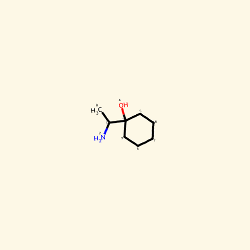 CC(N)C1(O)CCCCC1